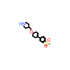 CS(=O)(=O)c1ccc(C2=CCC(OCC3CCNCC3)CC2)cc1